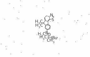 CB(OC(C)(C)C(C)(C)C)c1ccc2c(c1)C(C)(C)C1=CCC3N=CSC3=C12